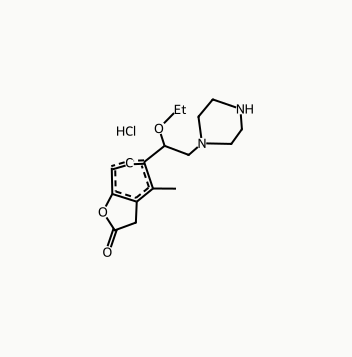 CCOC(CN1CCNCC1)c1ccc2c(c1C)CC(=O)O2.Cl